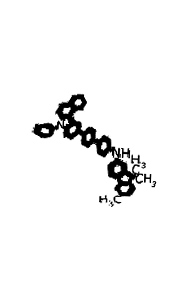 CC1C=CC2=C(C1)c1ccc(Nc3ccc(-c4ccc(-c5ccc6c(c5)c5c7ccccc7ccc5n6-c5ccccc5)cc4)cc3)cc1C2(C)C